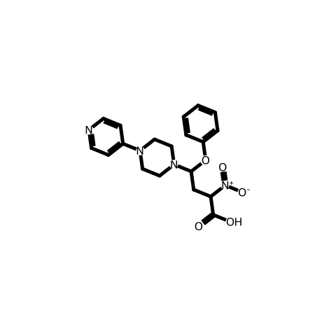 O=C(O)C(CC(Oc1ccccc1)N1CCN(c2ccncc2)CC1)[N+](=O)[O-]